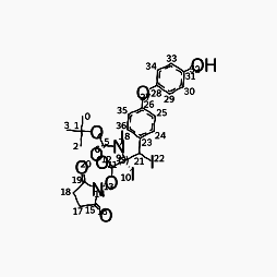 CC(C)(C)OC(=O)N(I)[C@](I)(C(=O)ON1C(=O)CCC1=O)C(I)c1ccc(Oc2ccc(O)cc2)cc1